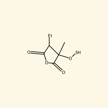 CCC1C(=O)OC(=O)C1(C)OS